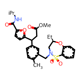 CC[C@@H]1CN(Cc2cc(C(CC(=O)OC)c3ccc(C(=O)NC(C)C)o3)ccc2C)S(=O)(=O)c2ccccc2O1